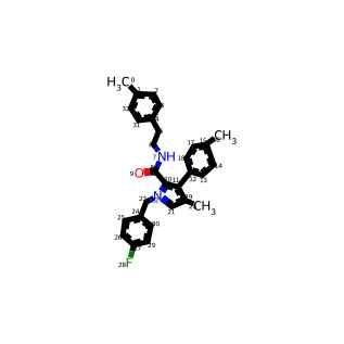 Cc1ccc(CCNC(=O)c2c(-c3ccc(C)cc3)c(C)cn2Cc2ccc(F)cc2)cc1